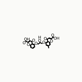 Cc1cc(OCC(O)COc2cccc3oc(C(=O)O)cc(=O)c23)c2c(=O)cc(C(=O)O)oc2c1